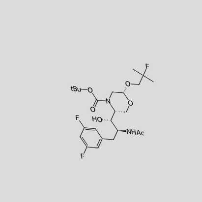 CC(=O)N[C@@H](Cc1cc(F)cc(F)c1)[C@H](O)[C@H]1CO[C@@H](OCC(C)(C)F)CN1C(=O)OC(C)(C)C